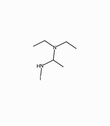 CCN(CC)C(C)NI